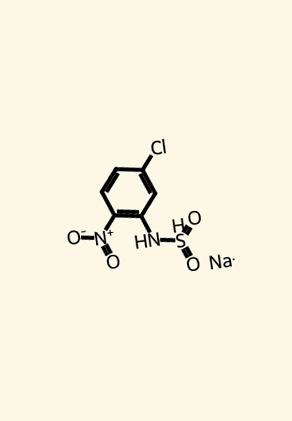 O=[N+]([O-])c1ccc(Cl)cc1N[SH](=O)=O.[Na]